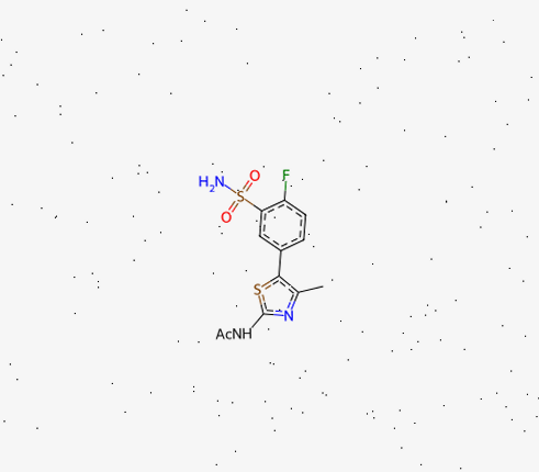 CC(=O)Nc1nc(C)c(-c2ccc(F)c(S(N)(=O)=O)c2)s1